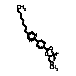 CCCCCCCCc1cnc(-c2ccc(C(=O)OC(COC)C(F)(F)F)cc2)nc1